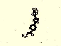 CCC(=O)N1CCC(c2nc(C3OC(C)O3)cs2)CC1